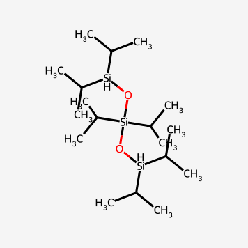 CC(C)[SiH](O[Si](O[SiH](C(C)C)C(C)C)(C(C)C)C(C)C)C(C)C